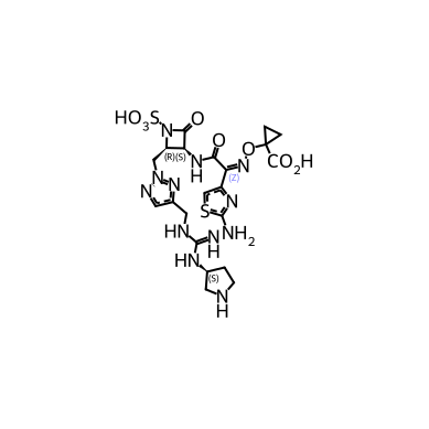 N=C(NCc1cnn(C[C@@H]2[C@H](NC(=O)/C(=N\OC3(C(=O)O)CC3)c3csc(N)n3)C(=O)N2S(=O)(=O)O)n1)N[C@H]1CCNC1